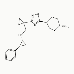 N[C@H]1CC[C@@H](c2nc(C3(CN[C@@H]4C[C@H]4c4ccccc4)CC3)no2)CC1